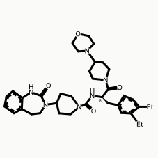 CCc1ccc(C[C@@H](NC(=O)N2CCC(N3CCc4ccccc4NC3=O)CC2)C(=O)N2CCC(N3CCOCC3)CC2)cc1CC